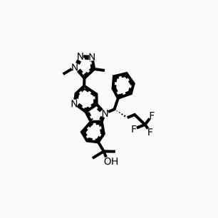 Cc1nnn(C)c1-c1cnc2c3ccc(C(C)(C)O)cc3n([C@@H](CCC(F)(F)F)c3ccccc3)c2c1